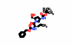 C=CC[C@H](NC(=O)OCc1ccccc1)C(=O)N1C[C@@H](NC(=O)OC(C)(C)C)C[C@H]1CO